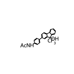 CC(=O)Nc1ccc(-c2ccc3c(c2)C(O)(C(F)(F)F)c2ccccc2-3)cc1